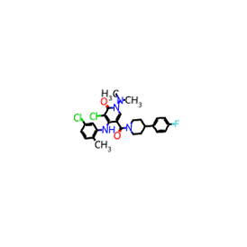 Cc1ccc(Cl)cc1Nc1c(C(=O)N2CCC(c3ccc(F)cc3)CC2)cn(N(C)C)c(=O)c1Cl